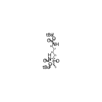 C=CC(=O)C(CCCCNC(=O)OC(C)(C)C)NC(=O)OC(C)(C)C